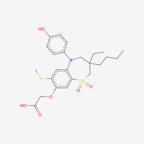 CCCCC1(CC)CN(c2ccc(O)cc2)c2cc(SC)c(OCC(=O)O)cc2S(=O)(=O)C1